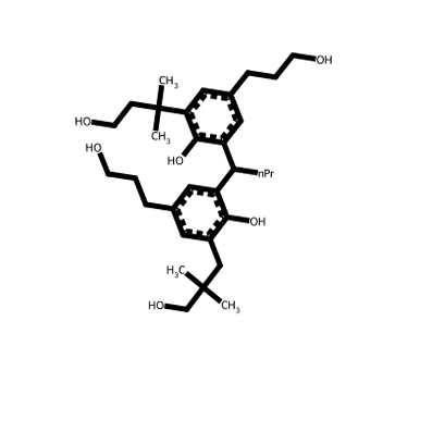 CCCC(c1cc(CCCO)cc(CC(C)(C)CO)c1O)c1cc(CCCO)cc(C(C)(C)CCO)c1O